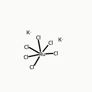 [Cl][Ru]([Cl])([Cl])([Cl])([Cl])[Cl].[K].[K]